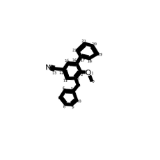 COc1c(Cc2ccccc2)cc(C#N)cc1-c1ccccc1